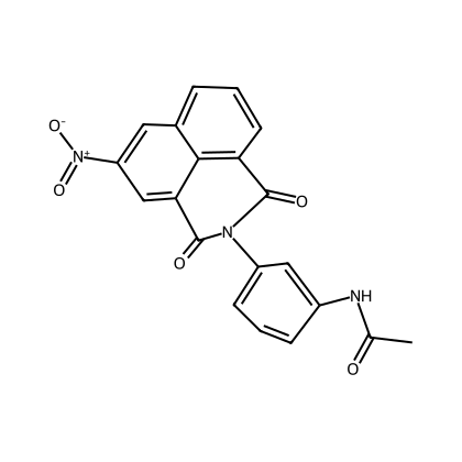 CC(=O)Nc1cccc(N2C(=O)c3cccc4cc([N+](=O)[O-])cc(c34)C2=O)c1